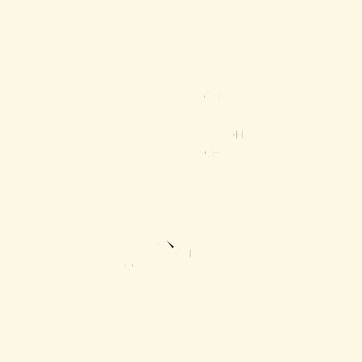 C[C@H](O)[C@H]1CCC2C3CCC(=O)[C@H](C)C3CC[C@@]21C